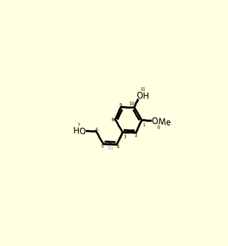 COc1cc(/C=C\CO)ccc1O